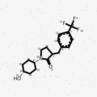 O=C1C(Cc2ccc(C(F)(F)F)cc2)CCN1[C@H]1CC[C@@H](O)CC1